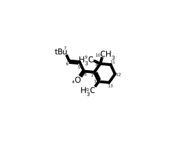 CC1=C(C(=O)C=CC(C)(C)C)C(C)(C)CCC1